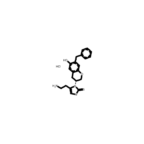 Cl.NCCC1=C[N]C(=S)N1[C@H]1COc2cc(Cc3ccccc3)c(O)cc2C1